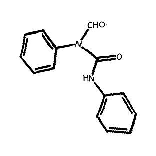 O=[C]N(C(=O)Nc1ccccc1)c1ccccc1